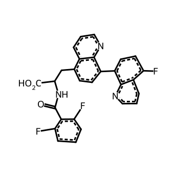 O=C(NC(Cc1ccc(-c2ccc(F)c3cccnc23)c2ncccc12)C(=O)O)c1c(F)cccc1F